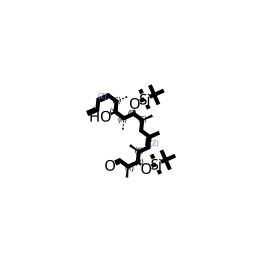 C=C/C=C\[C@H](C)[C@H](O)[C@@H](C)[C@H](O[Si](C)(C)C(C)(C)C)[C@@H](C)C/C(C)=C\[C@H](C)[C@@H](O[Si](C)(C)C(C)(C)C)[C@@H](C)C=O